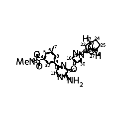 CNS(=O)(=O)c1cc(C)cc(-c2cnc(N)c(Oc3cnn([C@@H]4C[C@H]5CC[C@@H](C4)N5C)c3)n2)c1